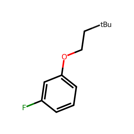 CC(C)(C)CCOc1cccc(F)c1